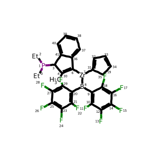 CCP(CC)C1C(C)=[C]([Zr]([B](c2c(F)c(F)c(F)c(F)c2F)c2c(F)c(F)c(F)c(F)c2F)[C]2=CC=CC2)c2ccccc21